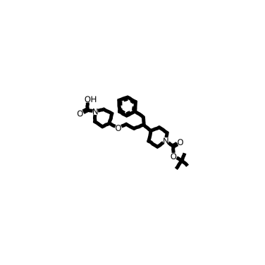 CC(C)(C)OC(=O)N1CCC(C(CCOC2CCN(C(=O)O)CC2)Cc2ccccc2)CC1